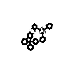 c1ccc(-c2nc(-c3ccccc3)nc(-c3cccc4c3Oc3cc5c(cc3O4)-c3ccccc3C5(c3ccccc3)c3ccccc3)n2)cc1